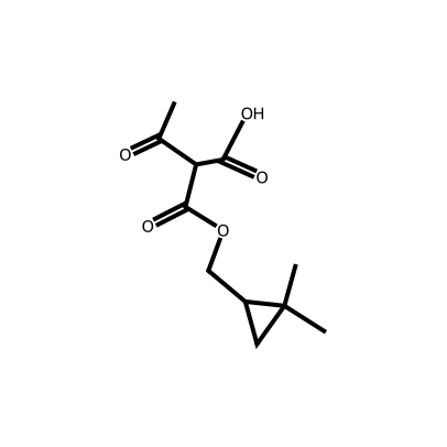 CC(=O)C(C(=O)O)C(=O)OCC1CC1(C)C